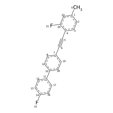 Cc1ccc(C#Cc2ccc(-c3ccc(F)cc3)cc2)c(F)c1